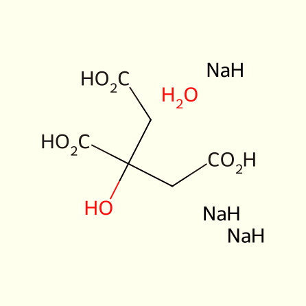 O.O=C(O)CC(O)(CC(=O)O)C(=O)O.[NaH].[NaH].[NaH]